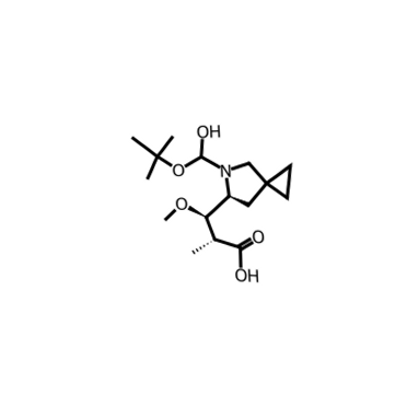 CO[C@H]([C@@H](C)C(=O)O)[C@@H]1CC2(CC2)CN1C(O)OC(C)(C)C